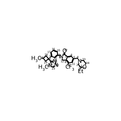 CC[C@H]1CN(Cc2cc3c(c(C(F)(F)F)c2)CN(c2cccc([C@]4(c5nncn5C)C[C@@H](C)C4)c2)C3=O)CCO1